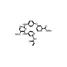 C=CC(=O)Nc1cc(Nc2nc(Nc3ccc(Oc4ccnc(C(=O)NC)c4)cc3)ncc2SC)ccn1